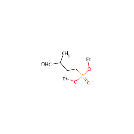 CCOP(=O)(CCC(C)C=O)OCC